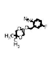 CC1(C)COB(OCc2cc(F)ccc2[N+]#N)CO1